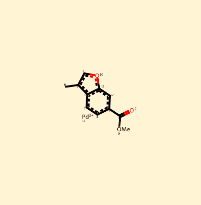 COC(=O)c1ccc2c(C)coc2c1.[Pd+2]